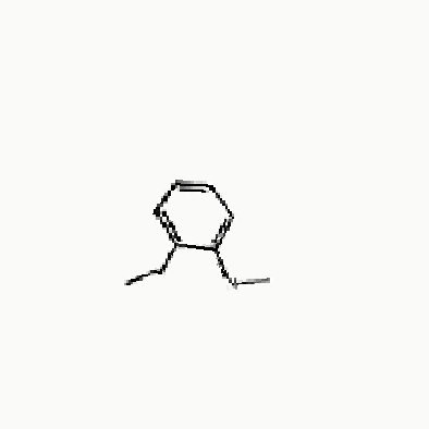 CCc1ccccc1[N]C